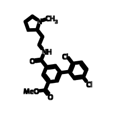 COC(=O)c1cc(C(=O)NCCC2CCCN2C)cc(-c2cc(Cl)ccc2Cl)c1